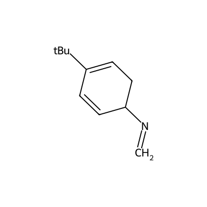 C=NC1C=CC(C(C)(C)C)=CC1